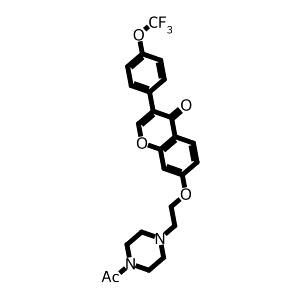 CC(=O)N1CCN(CCOc2ccc3c(=O)c(-c4ccc(OC(F)(F)F)cc4)coc3c2)CC1